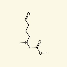 COC(=O)CN(C)CCCC=O